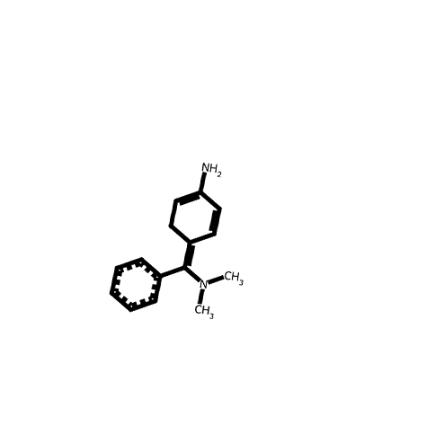 CN(C)C(=C1C=CC(N)=CC1)c1ccccc1